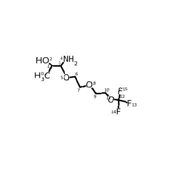 CC(O)C(N)OCCOCCOC(F)(F)F